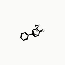 O=C1C2C=C(Br)C(C(c3ccccc3)C2)[C@@]12CO2